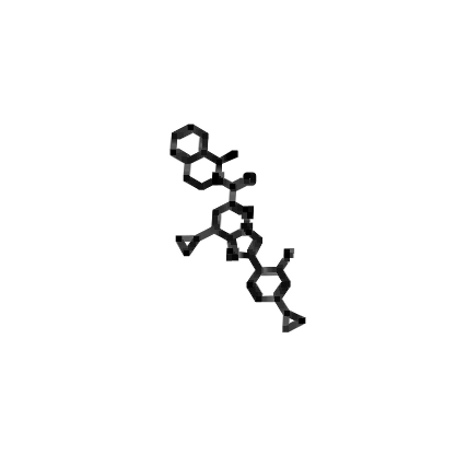 C[C@@H]1c2ccccc2CCN1C(=O)c1cc(C2CC2)c2nc(-c3ccc(C4CC4)cc3F)cn2n1